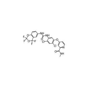 CNC(=O)c1cc(Oc2cc(NC(=O)Nc3ccc4c(c3)C(F)(F)OC(F)(F)O4)c(Cl)cc2Cl)ccn1